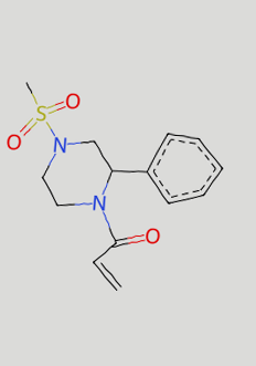 C=CC(=O)N1CCN(S(C)(=O)=O)CC1c1ccccc1